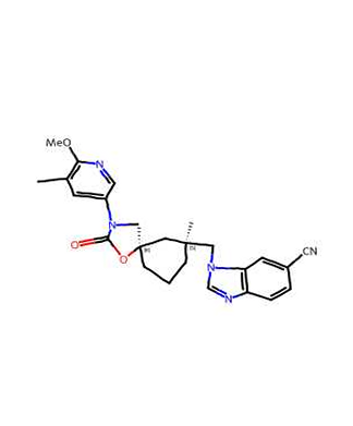 COc1ncc(N2C[C@]3(CCC[C@](C)(Cn4cnc5ccc(C#N)cc54)C3)OC2=O)cc1C